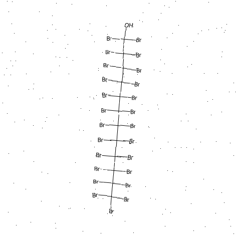 OC(Br)(Br)C(Br)(Br)C(Br)(Br)C(Br)(Br)C(Br)(Br)C(Br)(Br)C(Br)(Br)C(Br)(Br)C(Br)(Br)C(Br)(Br)C(Br)(Br)C(Br)(Br)Br